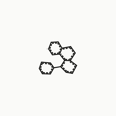 [c]1ccc2ccc3cccc(-c4ccccc4)c3c2c1